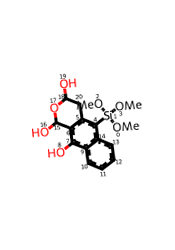 CO[Si](OC)(OC)c1c2c(c(O)c3ccccc13)C(O)OC(O)C2